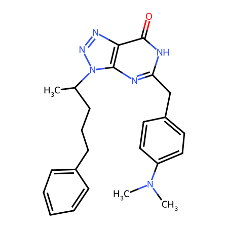 CC(CCCc1ccccc1)n1nnc2c(=O)[nH]c(Cc3ccc(N(C)C)cc3)nc21